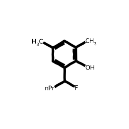 CCCC(F)c1cc(C)cc(C)c1O